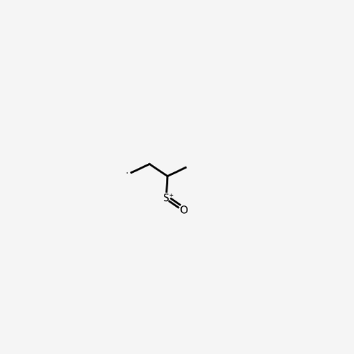 [CH2]CC(C)[S+]=O